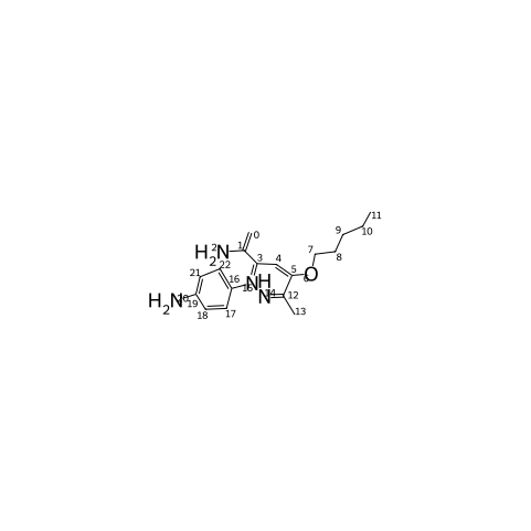 C=C(N)C(/C=C(/OCCCCC)C(C)=N)=N\c1ccc(N)cc1